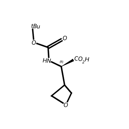 CC(C)(C)OC(=O)N[C@@H](C(=O)O)C1COC1